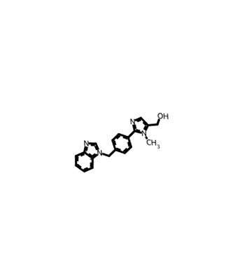 Cn1c(CO)cnc1-c1ccc(Cn2cnc3ccccc32)cc1